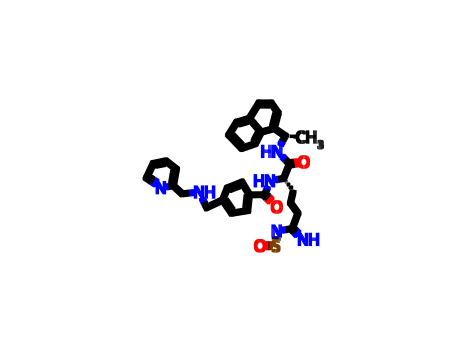 C[C@H](NC(=O)[C@H](CCCC(=N)N=S=O)NC(=O)c1ccc(CNCc2ccccn2)cc1)c1cccc2ccccc12